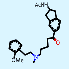 COc1ccccc1CCN(C)CCCCC(=O)c1ccc2c(c1)CC(NC(C)=O)C2